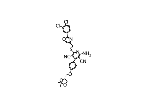 CC1(C)OC[C@@H](COc2ccc(-c3c(C#N)c(N)nc(SCc4coc(-c5ccc(Cl)c(Cl)c5)n4)c3C#N)cc2)O1